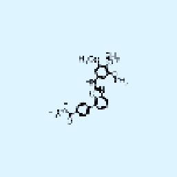 CNC(=O)c1ccc(-c2cccc3nc(Nc4cc(OC)c(OC)c(OC)c4)oc23)cc1